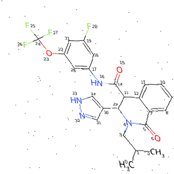 CC(C)CN1C(=O)c2ccccc2C(C(=O)Nc2cc(F)cc(OC(F)(F)F)c2)C1c1cn[nH]c1